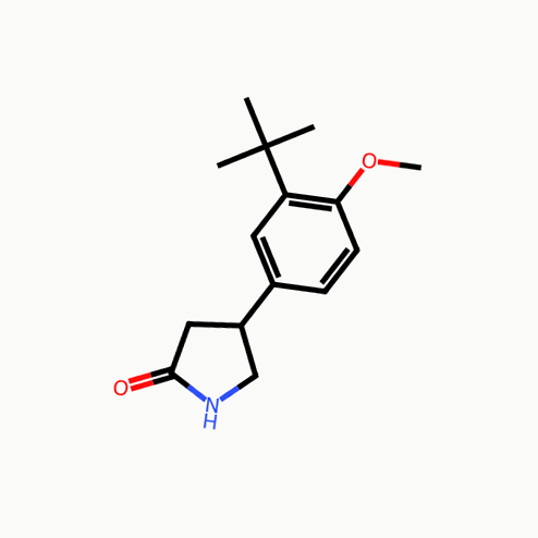 COc1ccc(C2CNC(=O)C2)cc1C(C)(C)C